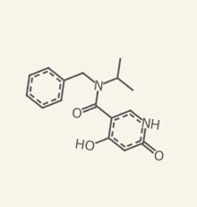 CC(C)N(Cc1ccccc1)C(=O)c1c[nH]c(=O)cc1O